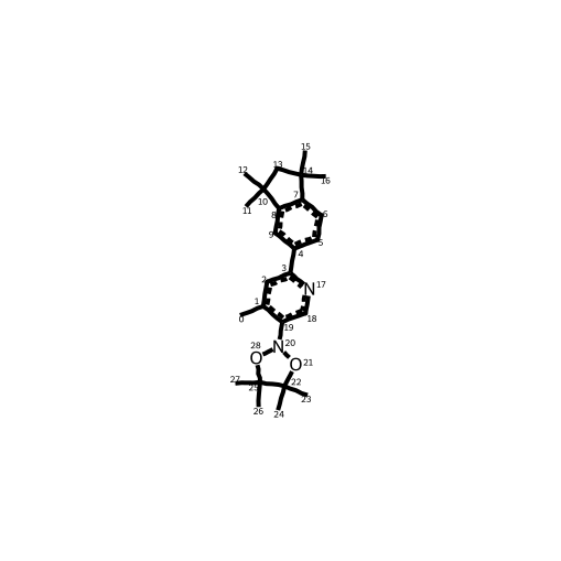 Cc1cc(-c2ccc3c(c2)C(C)(C)CC3(C)C)ncc1N1OC(C)(C)C(C)(C)O1